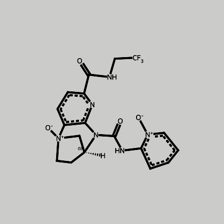 O=C(NCC(F)(F)F)c1ccc2c(n1)N(C(=O)Nc1cccc[n+]1[O-])[C@H]1CC[N+]2([O-])C1